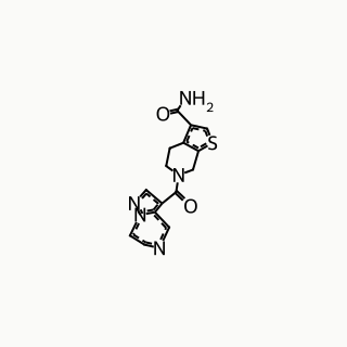 NC(=O)c1csc2c1CCN(C(=O)c1cnn3ccncc13)C2